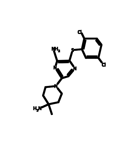 CC1(N)CCN(c2cnc(Sc3cc(Cl)ccc3Cl)c(N)n2)CC1